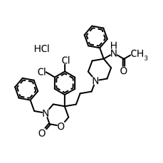 CC(=O)NC1(c2ccccc2)CCN(CCCC2(c3ccc(Cl)c(Cl)c3)COC(=O)N(Cc3ccccc3)C2)CC1.Cl